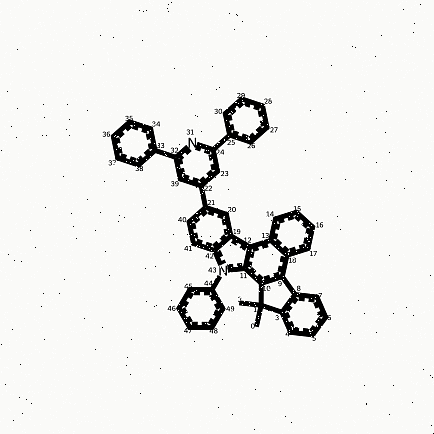 CC1(C)c2ccccc2-c2c1c1c(c3ccccc23)c2cc(-c3cc(-c4ccccc4)nc(-c4ccccc4)c3)ccc2n1-c1ccccc1